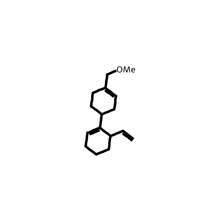 C=CC1CCCC=C1C1CC=C(COC)CC1